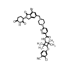 CC1(C)C(NC(=O)c2ccc(N3CCN(Cc4cc(Br)c5c(c4)CN(C4CCC(=O)NC4=O)C5=O)CC3)nn2)C(C)(C)C1Oc1ccc(C#N)c(Cl)c1